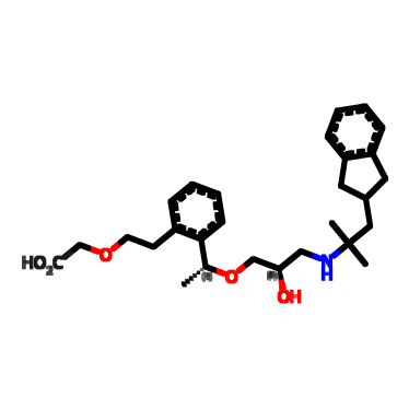 C[C@@H](OC[C@H](O)CNC(C)(C)CC1Cc2ccccc2C1)c1ccccc1CCOCC(=O)O